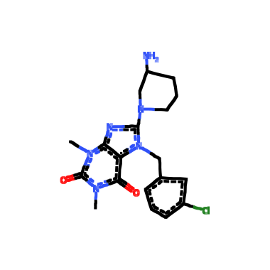 Cn1c(=O)c2c(nc(N3CCCC(N)C3)n2Cc2cccc(Cl)c2)n(C)c1=O